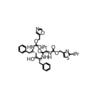 CC(C)c1nc(COC(=O)N[C@H](C(=O)N[C@@H](Cc2ccccc2)[C@@H](O)C[C@H](Cc2ccccc2)NC(=O)OCc2cnco2)C(C)C)cs1